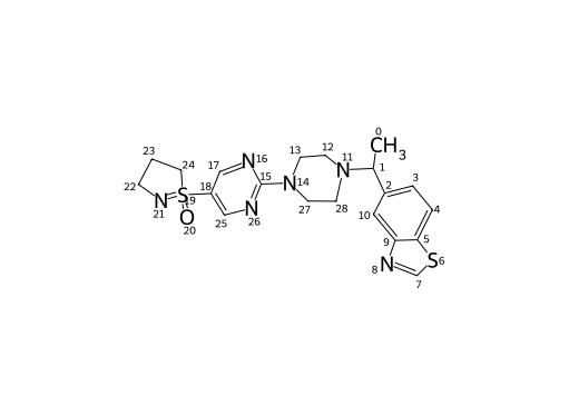 CC(c1ccc2scnc2c1)N1CCN(c2ncc(S3(=O)=NCCC3)cn2)CC1